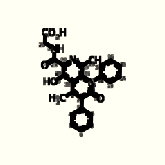 Cc1c(-c2ccccc2)c(=O)n(-c2ccccc2)c2c(C)nc(C(=O)NCC(=O)O)c(O)c12